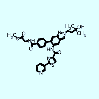 COC(=O)CNC(=O)c1ccc(-c2cc3nn(CCC(C)(C)O)cc3cc2NC(=O)c2csc(-c3cccnc3)n2)cc1